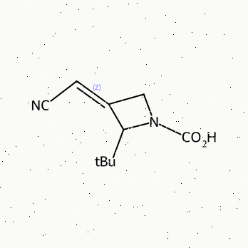 CC(C)(C)C1/C(=C\C#N)CN1C(=O)O